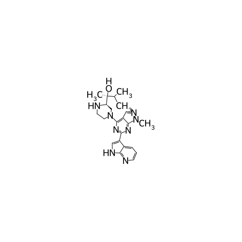 CC(C)[C@](C)(O)[C@H]1CN(c2nc(-c3c[nH]c4ncccc34)nc3c2cnn3C)CCN1